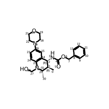 C[C@@H]1[C@@H](NC(=O)OCc2ccccc2)c2cc(N3CCOCC3)ccc2N(CO)[C@H]1C